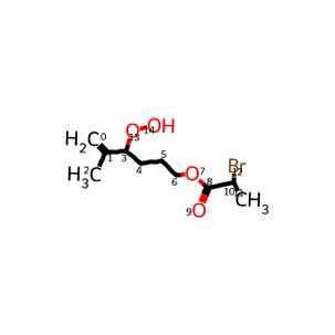 C=C(C)C(CCCOC(=O)C(C)Br)OO